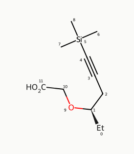 CC[C@H](CC#C[Si](C)(C)C)OCC(=O)O